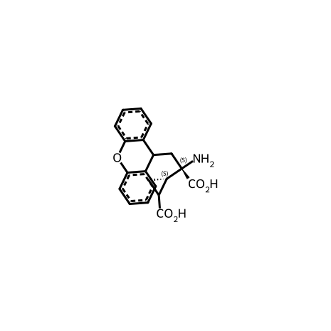 N[C@](CC1c2ccccc2Oc2ccccc21)(C(=O)O)[C@H]1CC1C(=O)O